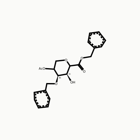 CC(=O)OC1COC(C(=O)OCc2ccccc2)[C@@H](O)[C@H]1OCc1ccccc1